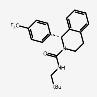 CC(C)(C)CNC(=O)N1CCc2ccccc2[C@H]1c1ccc(C(F)(F)F)cc1